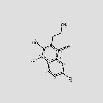 CCCc1c(O)[n+]([O-])c2ccc(Cl)cn2c1=O